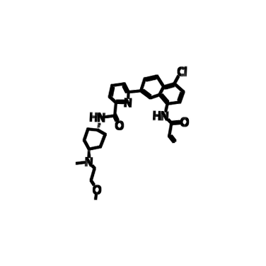 C=CC(=O)Nc1ccc(Cl)c2ccc(-c3cccc(C(=O)N[C@H]4CC[C@H](N(C)CCOC)CC4)n3)cc12